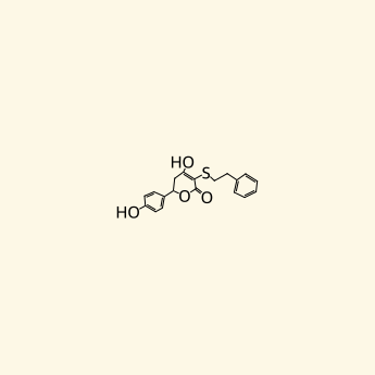 O=C1OC(c2ccc(O)cc2)CC(O)=C1SCCc1ccccc1